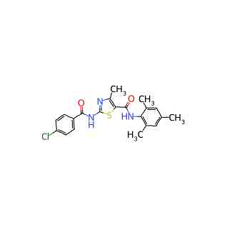 Cc1cc(C)c(NC(=O)c2sc(NC(=O)c3ccc(Cl)cc3)nc2C)c(C)c1